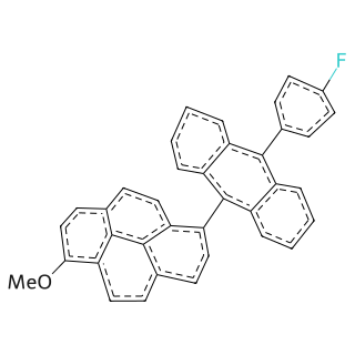 COc1ccc2ccc3c(-c4c5ccccc5c(-c5ccc(F)cc5)c5ccccc45)ccc4ccc1c2c43